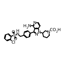 Nc1nccc2c1c(-c1ccc(CNS(=O)(=O)c3ccccc3Cl)cc1)nn2C1CCCN(C(=O)O)C1